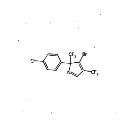 FC(F)(F)C1=C(Br)C(c2ccc(Cl)cc2)(C(F)(F)F)N=C1